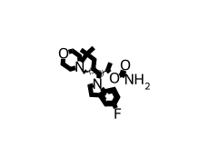 CC(OC(N)=O)[C@@H]([C@H](CN1CCOCC1)CC(C)(C)C)N1CCc2cc(F)ccc21